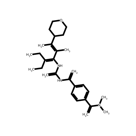 C=C(NC(=C)c1ccc(C(=C)N(C)C)cc1)NC(=C(CC)CC)/C(C)=C(\C)C1CCOCC1